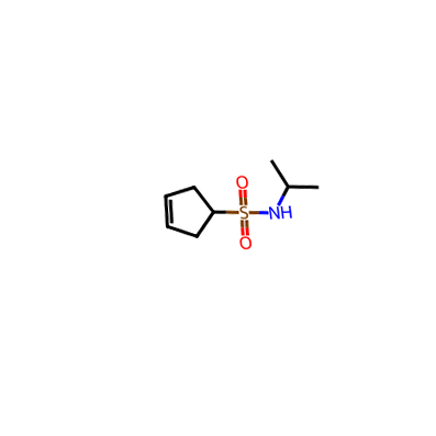 CC(C)NS(=O)(=O)C1CC=CC1